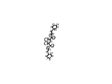 O=C(OC=Cc1ccccc1)C(Cl)CC(Cl)C(=O)OC=Cc1ccccc1